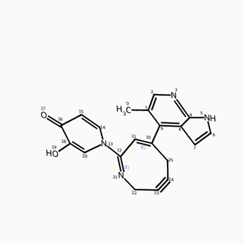 Cc1cnc2[nH]ccc2c1/C1=C/C(n2ccc(=O)c(O)c2)=N\CC#CC1